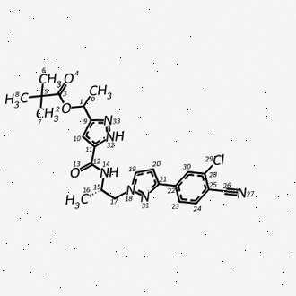 CC(OC(=O)C(C)(C)C)c1cc(C(=O)N[C@@H](C)Cn2ccc(-c3ccc(C#N)c(Cl)c3)n2)[nH]n1